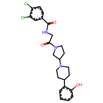 O=C(NCC(=O)N1CCC(N2CCC(c3ccccc3O)CC2)C1)c1ccc(Cl)c(Cl)c1